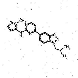 CC(C)Cn1nnc2cc(-c3ccnc(Nc4ccnn4C)n3)ccc21